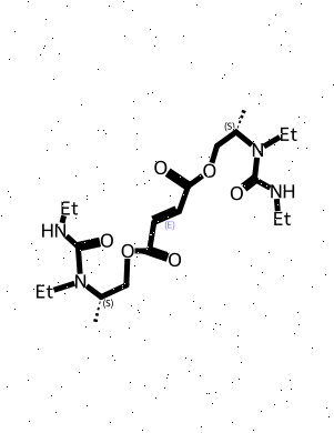 CCNC(=O)N(CC)[C@@H](C)COC(=O)/C=C/C(=O)OC[C@H](C)N(CC)C(=O)NCC